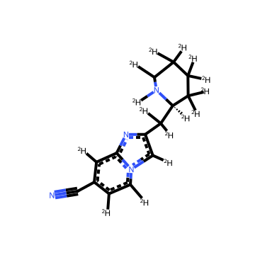 [2H]c1c(C#N)c([2H])c2nc(C([2H])([2H])[C@@]3([2H])N([2H])C([2H])C([2H])([2H])C([2H])([2H])C3([2H])[2H])c([2H])n2c1[2H]